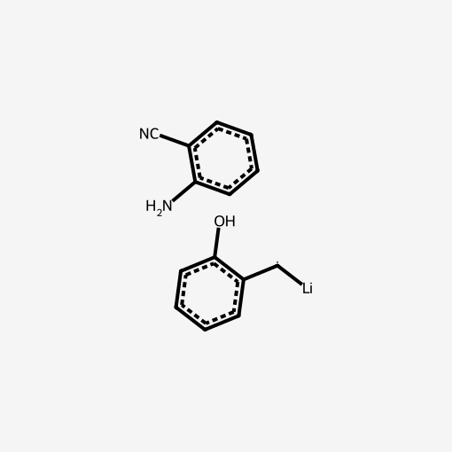 N#Cc1ccccc1N.[Li][CH]c1ccccc1O